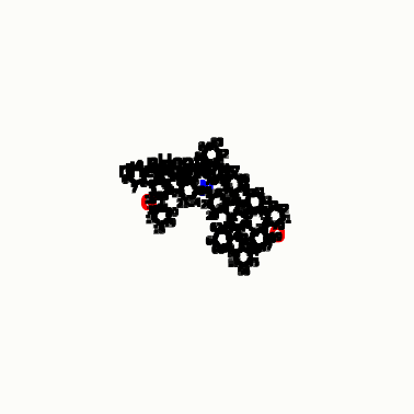 CCCCCCCC1(CCCCCCC)c2ccccc2-c2c1c1c(c3c2oc2ccccc23)-c2ccc(N(c3ccc4c(c3)C3(c5ccccc5-c5ccccc53)c3cc5c(cc3-4)C3(c4ccccc4-c4ccccc43)c3ccc4oc6ccccc6c4c3-5)c3ccc4ccccc4c3)cc2C1(CCCCCCC)CCCCCCC